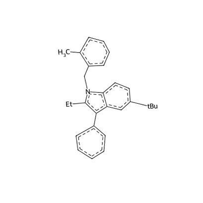 CCc1c(-c2ccccc2)c2cc(C(C)(C)C)ccc2n1Cc1ccccc1C